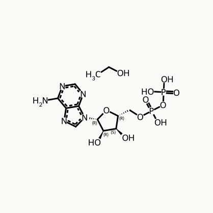 CCO.Nc1ncnc2c1ncn2[C@@H]1O[C@H](COP(=O)(O)OP(=O)(O)O)[C@@H](O)[C@H]1O